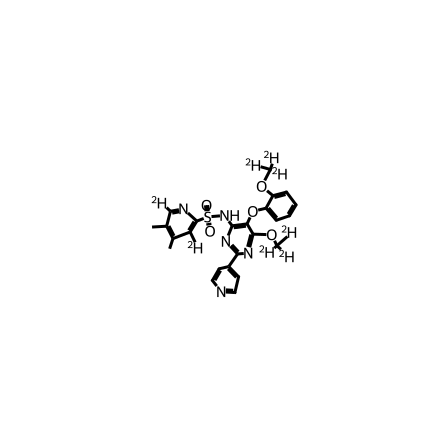 [2H]c1nc(S(=O)(=O)Nc2nc(-c3ccncc3)nc(OC([2H])([2H])[2H])c2Oc2ccccc2OC([2H])([2H])[2H])c([2H])c(C)c1C